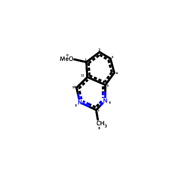 COc1cccc2nc(C)ncc12